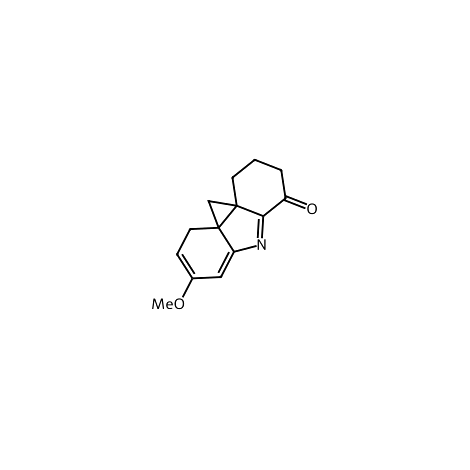 COC1=CCC23CC24CCCC(=O)C4=NC3=C1